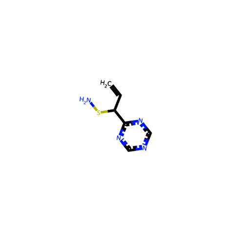 C=CC(SN)c1ncncn1